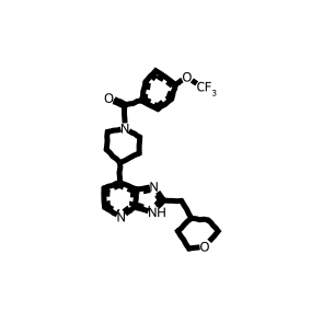 O=C(c1ccc(OC(F)(F)F)cc1)N1CCC(c2ccnc3[nH]c(CC4CCOCC4)nc23)CC1